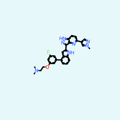 CN(C)CCOc1cc(F)cc(-c2cccc3[nH]c(-c4n[nH]c5ccc(-c6cnn(C)c6)nc45)cc23)c1